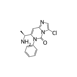 C[C@H](N)c1cc2ncc(Cl)n2c(=O)n1-c1ccccc1